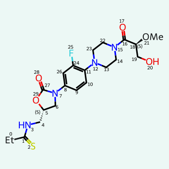 CCC(=S)NC[C@H]1CN(c2ccc(N3CCN(C(=O)[C@H](CO)OC)CC3)c(F)c2)C(=O)O1